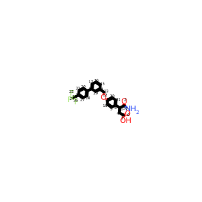 NC(=O)C(CC(=O)O)c1ccc(OCc2cccc(-c3ccc(C(F)(F)F)cc3)c2)cc1